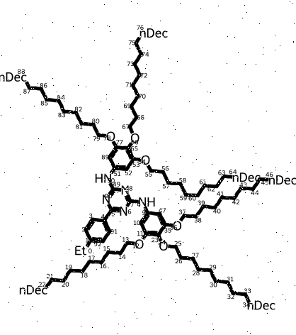 [CH2]Cc1ccc(-c2nc(Nc3cc(OCCCCCCCCCCCCCCCCCCC)c(OCCCCCCCCCCCCCCCCCCC)c(OCCCCCCCCCCCCCCCCCCC)c3)nc(Nc3cc(OCCCCCCCCCCCCCCCCCCC)c(OCCCCCCCCCCCCCCCCCCC)c(OCCCCCCCCCCCCCCCCCCC)c3)n2)cc1